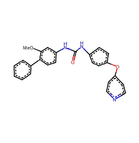 COc1cc(NC(=O)Nc2ccc(Oc3ccncc3)cc2)ccc1-c1ccccc1